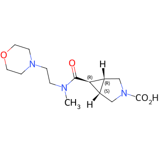 CN(CCN1CCOCC1)C(=O)[C@H]1[C@@H]2CN(C(=O)O)C[C@@H]21